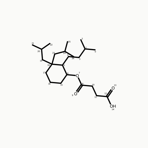 CC(C)CCC1C(OC(=O)CCC(=O)O)CCCC1(CC(C)C)CC(C)C